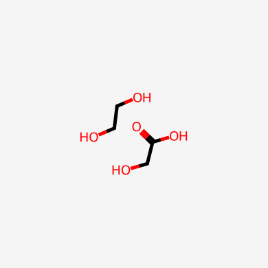 O=C(O)CO.OCCO